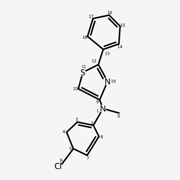 CN(C1=CCC(Cl)C=C1)c1csc(-c2ccccc2)n1